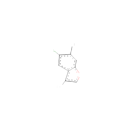 Cc1cc2occ(C)c2cc1Cl